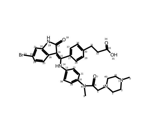 CN1CCN(CC(=O)N(C)c2ccc(NC(=C3C(=O)Nc4cc(Br)ccc43)c3ccc(CCC(=O)O)cc3)cc2)CC1